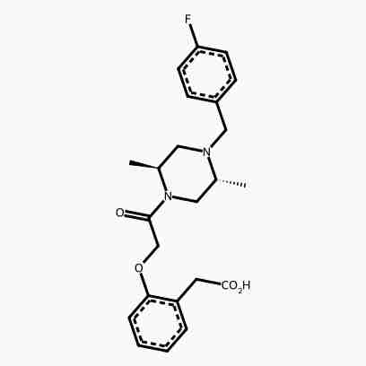 C[C@@H]1CN(C(=O)COc2ccccc2CC(=O)O)[C@@H](C)CN1Cc1ccc(F)cc1